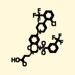 O=C(O)CC[C@H]1CN(S(=O)(=O)c2cccc(C(F)(F)F)c2)c2cc(N3CC=C(c4c(Cl)cccc4C(F)(F)F)CC3)ccc2O1